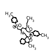 CCC/N=C(\C/C(CS(=O)(=O)c1ccc(C)cc1)=N\CC(=O)c1ccccc1C(C)=O)CS(=O)(=O)c1ccc(C)cc1